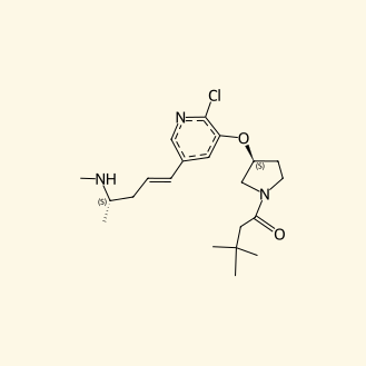 CN[C@@H](C)CC=Cc1cnc(Cl)c(O[C@H]2CCN(C(=O)CC(C)(C)C)C2)c1